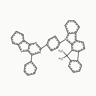 CC1(C)c2ccccc2-c2ccc3c4ccccc4n(-c4ccc(-c5nc(-c6ccccc6)c6sc7ccccc7c6n5)cc4)c3c21